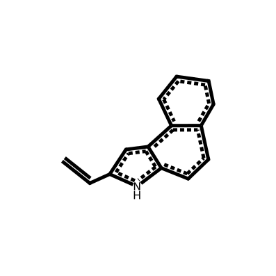 C=Cc1cc2c(ccc3ccccc32)[nH]1